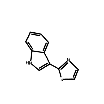 c1ccc2c(-c3nccs3)c[nH]c2c1